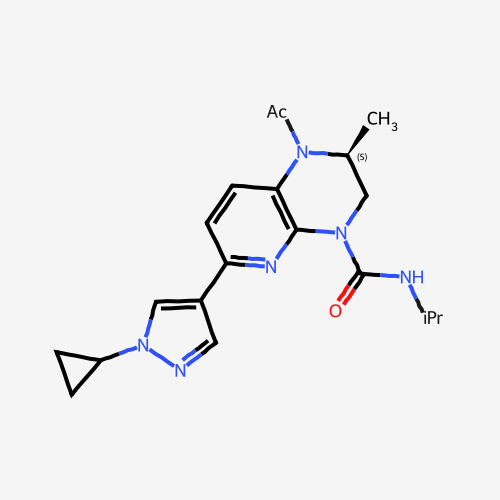 CC(=O)N1c2ccc(-c3cnn(C4CC4)c3)nc2N(C(=O)NC(C)C)C[C@@H]1C